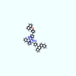 NC(NC(NCc1ccc(-c2c3ccccc3cc3c2ccc2ccccc23)cc1)c1ccc(-c2ccc3c(c2)-c2cccc4cccc(c24)O3)cc1)c1ccccc1-c1ccccc1